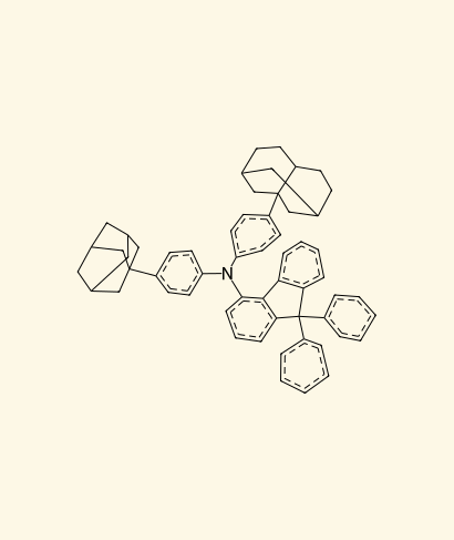 c1ccc(C2(c3ccccc3)c3ccccc3-c3c(N(c4ccc(C56CC7CC(CC(C7)C5)C6)cc4)c4ccc(C56CC7CCC5CCC(C7)C6)cc4)cccc32)cc1